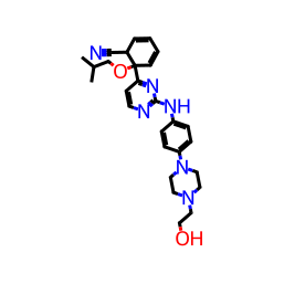 CC(C)COC1(c2ccnc(Nc3ccc(N4CCN(CCO)CC4)cc3)n2)C=CC=CC1C#N